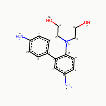 Nc1ccc(-c2cc(N)ccc2N(CCO)CCO)cc1